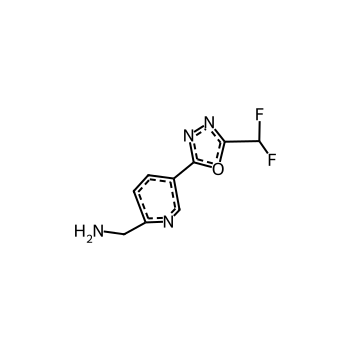 NCc1ccc(-c2nnc(C(F)F)o2)cn1